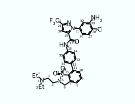 CCN(CC)CCN1Cc2cccc(-c3ccc(NC(=O)c4cc(C(F)(F)F)nn4-c4ccc(Cl)c(N)c4)cc3)c2S1(=O)=O